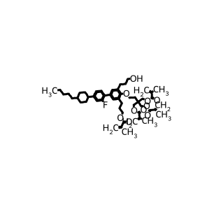 C=C(C)C(=O)OCCCc1cc(-c2ccc(C3CCC(CCCCC)CC3)cc2F)cc(CCCO)c1OCCC(COC(=O)C(=C)C)(COC(=O)C(=C)C)COC(=O)C(=C)C